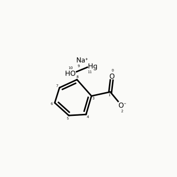 O=C([O-])c1ccccc1.[Na+].[OH][Hg]